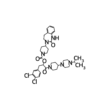 CC(C)N1CCN(C2CCN(C(=O)C(Cc3ccc(Cl)c(Cl)c3)OC(=O)N3CCC(N4CCc5ccccc5NC4=O)CC3)CC2)CC1